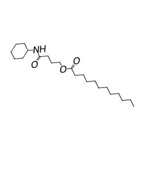 CCCCCCCCCCCC(=O)OCCCC(=O)NC1CCCCC1